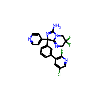 NC1=NC(c2ccncc2)(c2cccc(-c3cc(Cl)cnc3F)c2)C2=NCC(F)(F)CN12